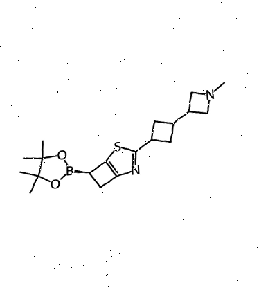 CN1CC(C2CC(c3nc4c(s3)[C@H](B3OC(C)(C)C(C)(C)O3)C4)C2)C1